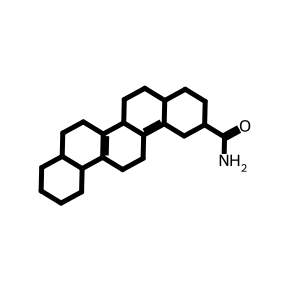 NC(=O)C1CCC2CCC3C(=C2C1)CCC1=C3CCC2CCCCC12